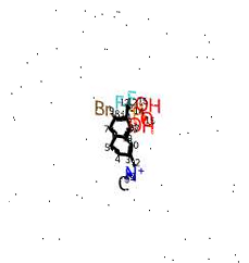 [C-]#[N+]Cc1ccc2cc(Br)c(C(F)(F)P(=O)(O)O)cc2c1